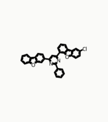 Clc1ccc2oc3c(-c4cc(-c5ccc6c(c5)oc5ccccc56)nc(-c5ccccc5)n4)cccc3c2c1